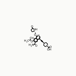 CC(C)Oc1cc2c(OC[C@@H]3CCC(=O)N3)ncc(C#CC3CCN(C(=O)O)CC3)c2cc1C(N)=O